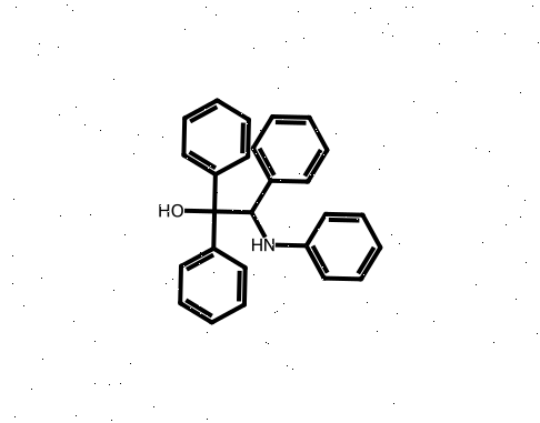 OC(c1ccccc1)(c1ccccc1)C(Nc1ccccc1)c1ccccc1